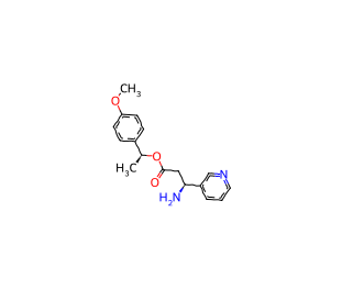 COc1ccc([C@H](C)OC(=O)C[C@H](N)c2cccnc2)cc1